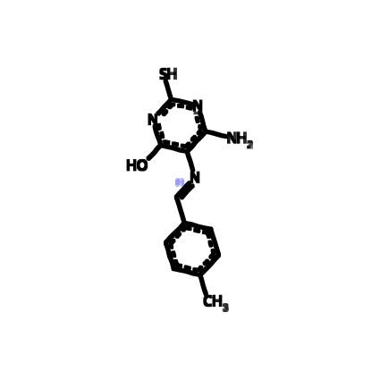 Cc1ccc(/C=N/c2c(N)nc(S)nc2O)cc1